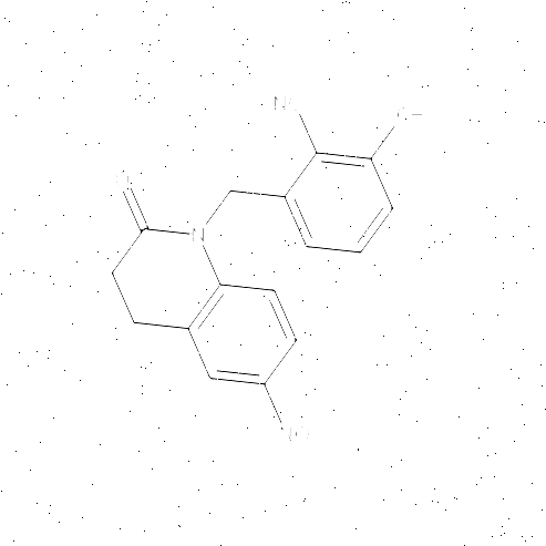 Cc1cccc(CN2C(=O)CCc3cc([N+](=O)[O-])ccc32)c1C#N